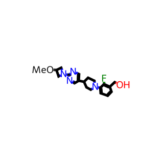 COC1CN(c2ncc(C3CCN(c4cccc(CO)c4F)CC3)cn2)C1